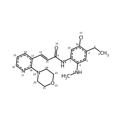 CCc1cc(NC)c(NC(=O)/C=C/c2cccnc2N2CCOCC2)cc1Cl